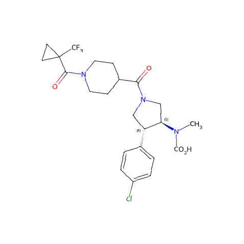 CN(C(=O)O)[C@@H]1CN(C(=O)C2CCN(C(=O)C3(C(F)(F)F)CC3)CC2)C[C@H]1c1ccc(Cl)cc1